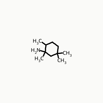 CC1CCC(C)(C)CC1(C)N